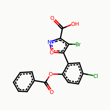 O=C(Oc1ccc(Cl)cc1-c1onc(C(=O)O)c1Br)c1ccccc1